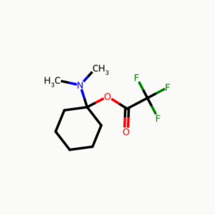 CN(C)C1(OC(=O)C(F)(F)F)CCCCC1